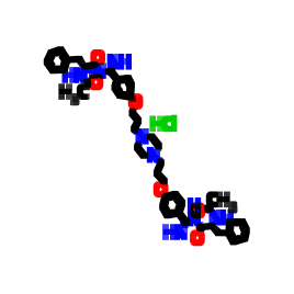 CC(=O)N[C@@H](Cc1ccccc1)C(=O)NC(=N)c1ccc(OCCCN2CCN(CCCOc3ccc(C(=N)NC(=O)[C@H](Cc4ccccc4)NC(C)=O)cc3)CC2)cc1.Cl